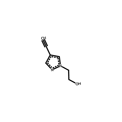 C#Cc1cnn(CCO)c1